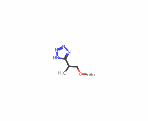 [CH2]CCCOCC(C)c1nnn[nH]1